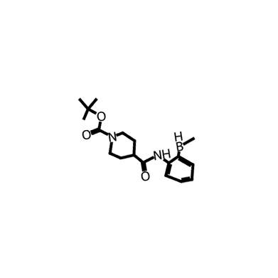 CBc1ccccc1NC(=O)C1CCN(C(=O)OC(C)(C)C)CC1